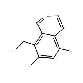 OCc1c(F)cc(Cl)c2ccncc12